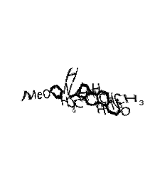 COc1ccc(NC(=O)C2CC[C@H]3[C@@H]4CCC5N(C)C(=O)C=C[C@]5(C)[C@@H]4CC[C@]23C)cc1